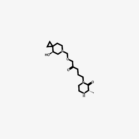 C[C@@H]1NCCN(CCCC(=O)COCN2CCC3(CC3)[C@H](O)C2)C1=O